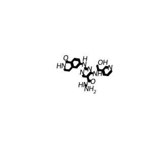 NNC(=O)c1cnc(Nc2ccc3c(c2)CCNC3=O)nc1NC(CO)c1cccnc1